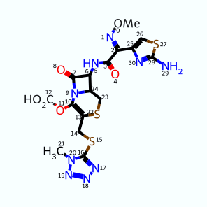 CON=C(C(=O)NC1C(=O)N2C(OC(=O)O)=C(CSc3nnnn3C)SCC12)c1csc(N)n1